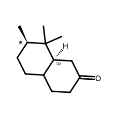 C[C@@H]1CCC2CCC(=O)C[C@@H]2C1(C)C